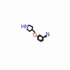 N#Cc1cccc(OCC2CCNCC2)c1